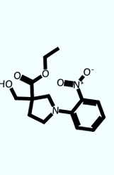 CCOC(=O)C1(CO)CCN(c2ccccc2[N+](=O)[O-])C1